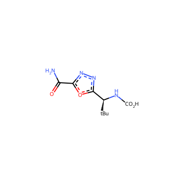 CC(C)(C)[C@H](NC(=O)O)c1nnc(C(N)=O)o1